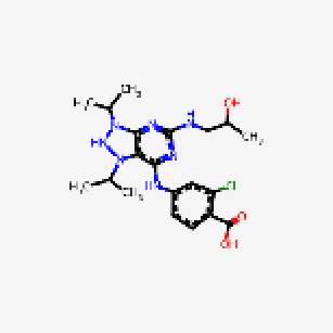 CC(O)CNc1nc(Nc2ccc(C(=O)O)c(Cl)c2)c2c(n1)N(C(C)C)NN2C(C)C